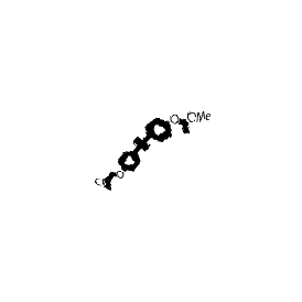 COC(C)Oc1ccc(C(C)(C)c2ccc(OCC3CO3)cc2)cc1